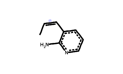 C/C=C\c1cccnc1N